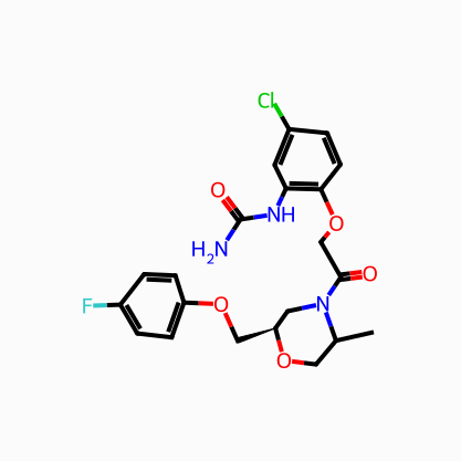 CC1CO[C@@H](COc2ccc(F)cc2)CN1C(=O)COc1ccc(Cl)cc1NC(N)=O